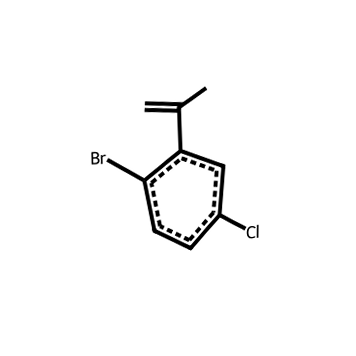 C=C(C)c1cc(Cl)ccc1Br